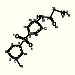 Cc1cccc(S(=O)(=O)c2ccc(NC(=O)CN)cc2)c1